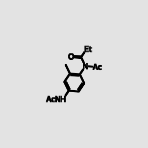 CCC(=O)N(C(C)=O)c1ccc(NC(C)=O)cc1C